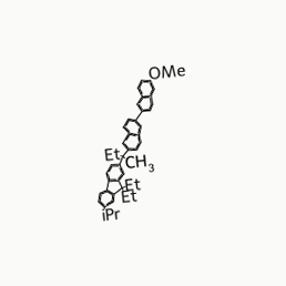 CCC(C)(c1ccc2c(c1)C(CC)(CC)c1cc(C(C)C)ccc1-2)c1ccc2cc(-c3ccc4cc(OC)ccc4c3)ccc2c1